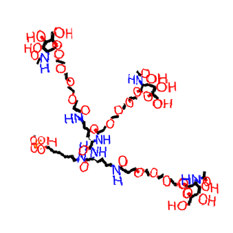 COP(=O)(O)OCCCCCCNC(=O)[C@H](CCCCNC(=O)CCOCCOCCOCCOC1OC(CO)C(O)C(O)C1NC(C)=O)NC(=O)[C@H](CCCCNC(=O)CCOCCOCCOCCOC1OC(CO)C(O)C(O)C1NC(C)=O)NC(=O)CCOCCOCCOCCOC1OC(CO)C(O)C(O)C1NC(C)=O